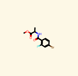 COC(=O)C(C)NC(=O)c1ccc(Br)cc1F